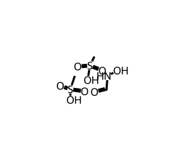 CS(=O)(=O)O.CS(=O)(=O)O.O=CNO